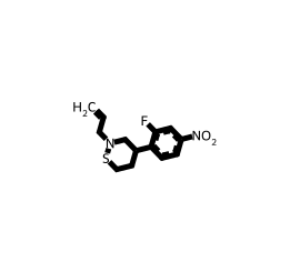 C=CCN1CC(c2ccc([N+](=O)[O-])cc2F)CCS1